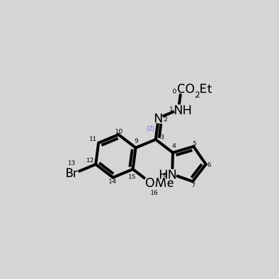 CCOC(=O)N/N=C(\c1ccc[nH]1)c1ccc(Br)cc1OC